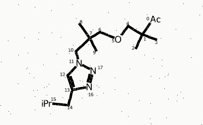 CC(=O)C(C)(C)COCC(C)(C)Cn1cc(CC(C)C)nn1